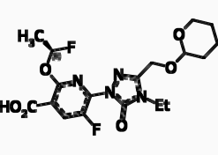 CCn1c(COC2CCCCO2)nn(-c2nc(O[C@@H](C)F)c(C(=O)O)cc2F)c1=O